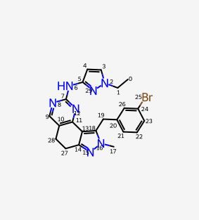 CCn1ccc(Nc2ncc3c(n2)-c2c(nn(C)c2Cc2cccc(Br)c2)CC3)n1